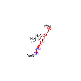 CCCCCC/C=C\COC(=O)CCCCCCCOCC(COCCOCCOCCOCCOC(=O)CNCCOC(=O)CNCCOC)OCCC(C)CCCC(C)CCCC(C)CCCC(C)C